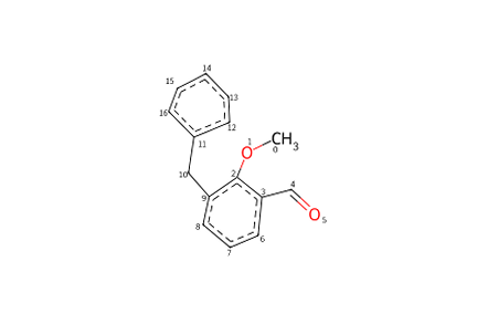 COc1c(C=O)cccc1Cc1ccccc1